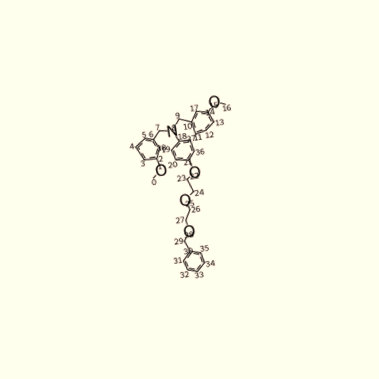 COc1cccc(CN(Cc2cccc(OC)c2)c2ccc(OCCOCCOCc3ccccc3)cc2)c1